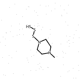 CN1CCN(SSS)CC1